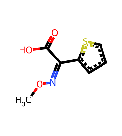 CON=C(C(=O)O)c1cccs1